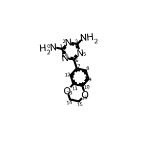 Nc1nc(N)nc(-c2ccc3c(c2)OCCO3)n1